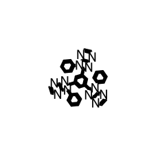 C1=CC(n2c(-c3cc(-c4nc5nccnc5n4-c4ccccc4)cc(-c4nc5nccnc5n4-c4ccccc4)c3)nc3nccnc32)=CCC1